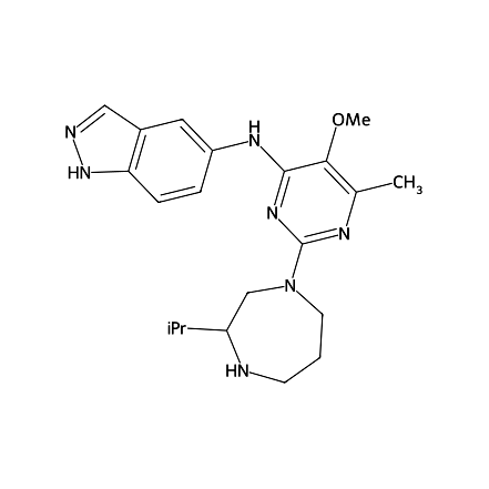 COc1c(C)nc(N2CCCNC(C(C)C)C2)nc1Nc1ccc2[nH]ncc2c1